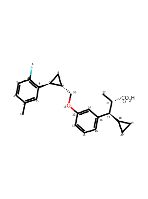 Cc1ccc(F)c([C@H]2C[C@@H]2COc2cccc([C@H](C3CC3)[C@H](C)C(=O)O)c2)c1